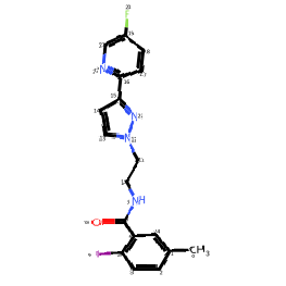 Cc1ccc(I)c(C(=O)NCCn2ccc(-c3ccc(F)cn3)n2)c1